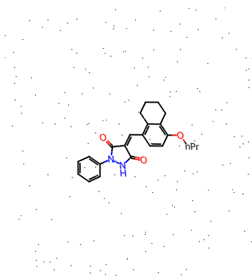 CCCOc1ccc(C=C2C(=O)NN(c3ccccc3)C2=O)c2c1CCCC2